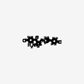 Nc1scc(CN2CC3CC2CC3c2ccc(Cl)cc2)c1C(=O)c1ccc(Cl)cc1